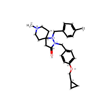 CCc1ccc(CN2N(Cc3ccc(OCC4CC4)cc3)C(=O)CC23CCN(C)CC3)cc1